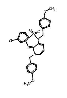 COc1ccc(CN2C=CC=C3C2=Nc2cc(Cl)ccc2S(=O)(=O)N3Cc2ccc(OC)cc2)cc1